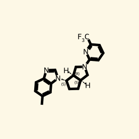 Cc1ccc2ncn([C@H]3CC[C@@H]4CN(c5cccc(C(F)(F)F)n5)C[C@@H]43)c2c1